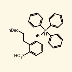 CCCCCCCCCCCCc1ccccc1S(=O)(=O)O.CCC[PH](c1ccccc1)(c1ccccc1)c1ccccc1